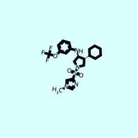 Cn1cnc(S(=O)(=O)N2C[C@@H](Nc3cccc(OC(F)(F)F)c3)[C@H](C3CCCCC3)C2)c1